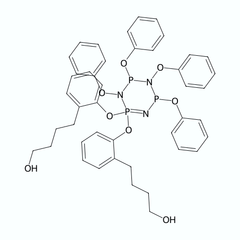 OCCCCc1ccccc1OP1(Oc2ccccc2CCCCO)=NP(Oc2ccccc2)N(Oc2ccccc2)P(Oc2ccccc2)N1Oc1ccccc1